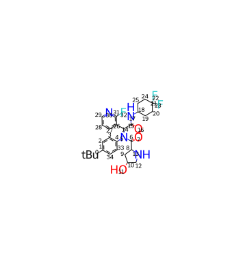 CC(C)(C)c1ccc(N(C(=O)C2CC(O)CN2)C(C(=O)NC2CCC(F)(F)CC2)c2cccnc2F)cc1